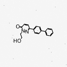 O=c1ccc(-c2ccc(-c3ccccc3)cc2)nn1CCO